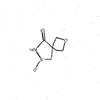 O=C1N[S+]([O-])CC12COC2